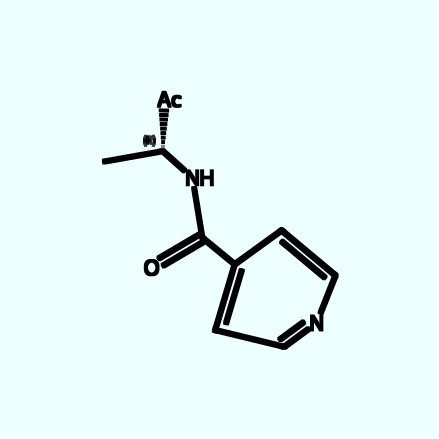 CC(=O)[C@@H](C)NC(=O)c1ccncc1